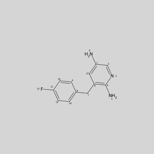 Nc1cnc(N)c(Cc2ccc(F)cc2)c1